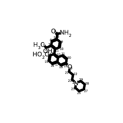 CC(O)c1cc(C(N)=O)ccc1-c1c(C(=O)O)ccc2cc(OCCCN3CCCCC3)ccc12